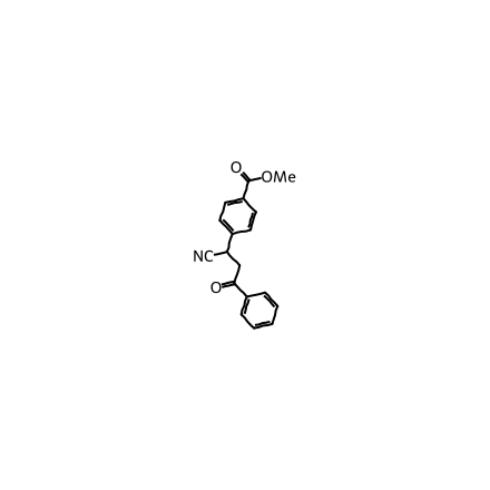 COC(=O)c1ccc(C(C#N)CC(=O)c2ccccc2)cc1